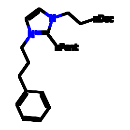 CCCCCCCCCCCCn1cc[n+](CCCc2ccccc2)c1CCCCC